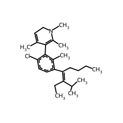 CCCC/C(=C(/CC)C(C)C)c1ccc(Cl)c(C2=C(C)N(C)CC=C2C)c1C